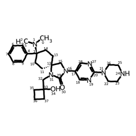 CN(C)[C@]1(c2ccccc2)CC[C@]2(CC1)CN(c1cnc(N3CCNCC3)nc1)C(=O)N2CC1(O)CCC1